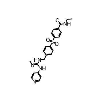 CCNC(=O)c1ccc(S(=O)(=O)c2ccc(CN/C(=N\C)Nc3ccncc3)cc2)cc1